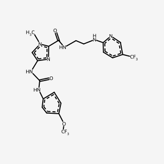 Cn1cc(NC(=O)Nc2ccc(OC(F)(F)F)cc2)nc1C(=O)NCCNc1ccc(C(F)(F)F)cn1